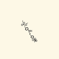 CCOC(=O)[C@H](Cc1ccc(NCC=Cc2ccc(OS(C)(=O)=O)cc2)cc1)OCC